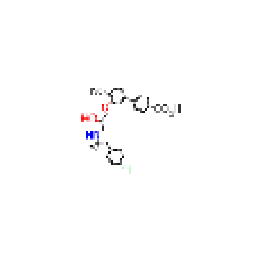 N#Cc1ccc(-c2ccc(C(=O)O)cc2)cc1OC[C@H](O)CNC1(Cc2ccc(Cl)cc2)CC1